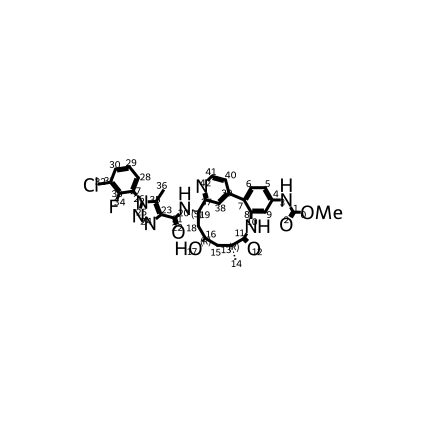 COC(=O)Nc1ccc2c(c1)NC(=O)[C@H](C)C[C@@H](O)C[C@H](NC(=O)c1nnn(-c3cccc(Cl)c3F)c1C)c1cc-2ccn1